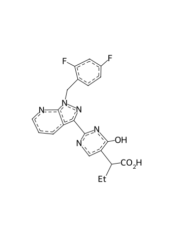 CCC(C(=O)O)c1cnc(-c2nn(Cc3ccc(F)cc3F)c3ncccc23)nc1O